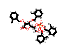 Cc1ccccc1COC1=C(OCc2ccccc2C)[C@@H]([C@H](CO)OP(=O)(OCc2ccccc2C)OCc2ccccc2C)OC1=O